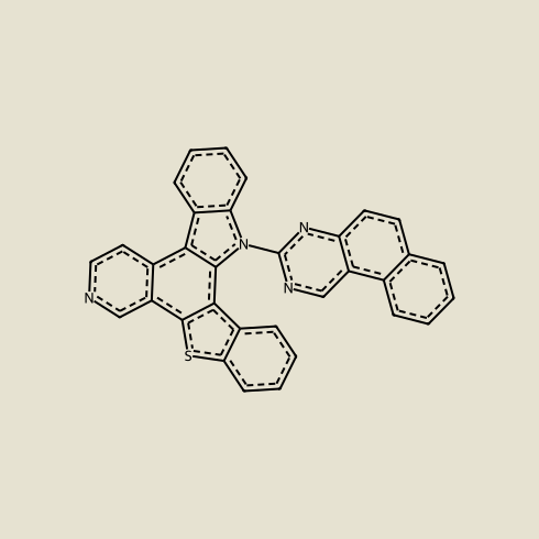 c1ccc2c(c1)ccc1nc(-n3c4ccccc4c4c5ccncc5c5sc6ccccc6c5c43)ncc12